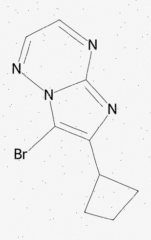 Brc1c(C2CCC2)nc2nccnn12